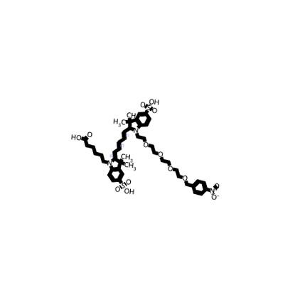 CC1(C)\C(=C/C=C/C=C/C2N(CCOCCOCCOCCOCc3ccc([N+](=O)[O-])cc3)c3ccc(S(=O)(=O)O)cc3C2(C)C)N(CCCCCC(=O)O)c2ccc(S(=O)(=O)O)cc21